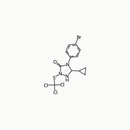 O=C1N(SC(Cl)(Cl)Cl)NC(C2CC2)N1c1ccc(Br)cc1